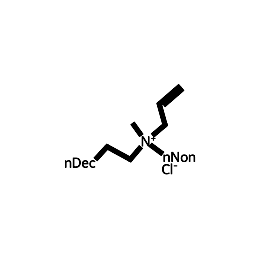 C=CC[N+](C)(CCCCCCCCC)CCCCCCCCCCCC.[Cl-]